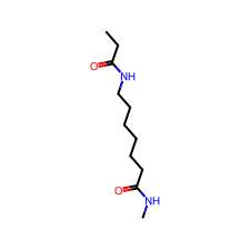 CCC(=O)NCCCCCCC(=O)NC